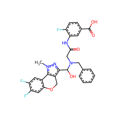 Cn1nc(C(O)N(CC(=O)Nc2cc(C(=O)O)ccc2F)Cc2ccccc2)c2c1-c1cc(F)c(F)cc1OC2